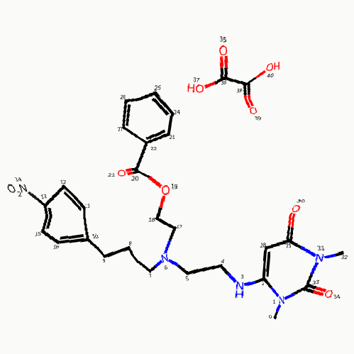 Cn1c(NCCN(CCCc2ccc([N+](=O)[O-])cc2)CCOC(=O)c2ccccc2)cc(=O)n(C)c1=O.O=C(O)C(=O)O